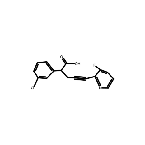 O=C(O)C(CC#Cc1ncccc1F)c1cccc(Cl)c1